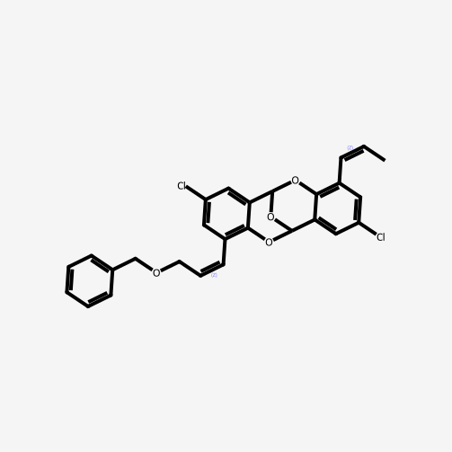 C/C=C\c1cc(Cl)cc2c1OC1OC2Oc2c(/C=C\COCc3ccccc3)cc(Cl)cc21